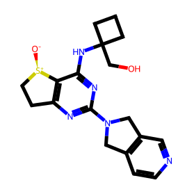 [O-][S@+]1CCc2nc(N3Cc4ccncc4C3)nc(NC3(CO)CCC3)c21